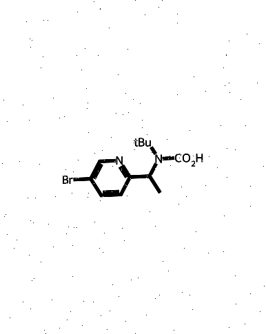 CC(c1ccc(Br)cn1)N(C(=O)O)C(C)(C)C